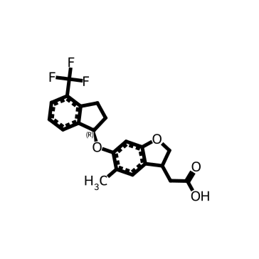 Cc1cc2c(cc1O[C@@H]1CCc3c1cccc3C(F)(F)F)OCC2CC(=O)O